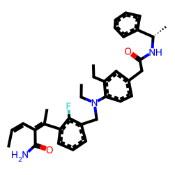 C/C=C\C(C(N)=O)=C(/C)c1cccc(CN(CC)c2ccc(CC(=O)N[C@@H](C)c3ccccc3)cc2CC)c1F